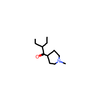 CCC(CC)C(=O)C1CCN(C)CC1